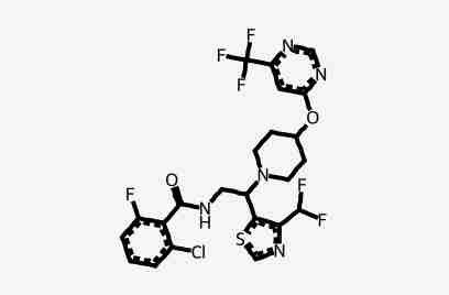 O=C(NCC(c1scnc1C(F)F)N1CCC(Oc2cc(C(F)(F)F)ncn2)CC1)c1c(F)cccc1Cl